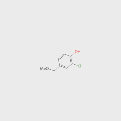 COCc1ccc(O)c(Cl)c1